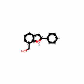 OCc1cccc2cc(-c3ccccc3)oc12